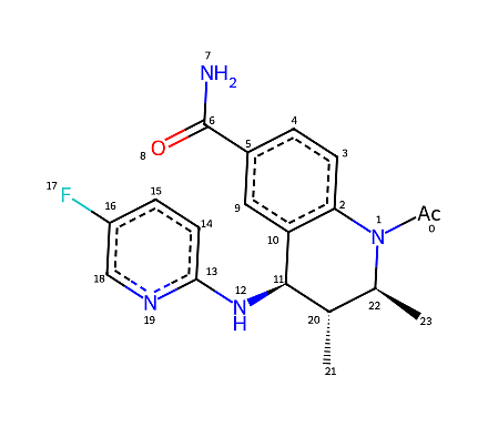 CC(=O)N1c2ccc(C(N)=O)cc2[C@H](Nc2ccc(F)cn2)[C@@H](C)[C@@H]1C